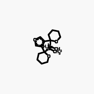 C[SiH2]C1(c2cocc2C2([SiH2]C)CCCCO2)CCCCO1